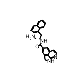 NC[C@H](Cc1cccc2ccccc12)NC(=O)c1cc2c3c(nccc3c1)NC2